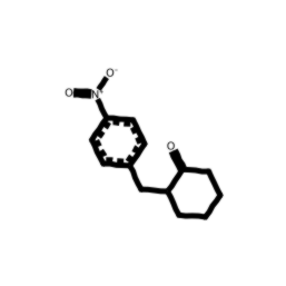 O=C1CCCCC1Cc1ccc([N+](=O)[O-])cc1